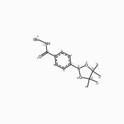 CC(C)(C)NC(=O)c1ccc(B2OC(C)(C)C(C)(C)O2)cc1